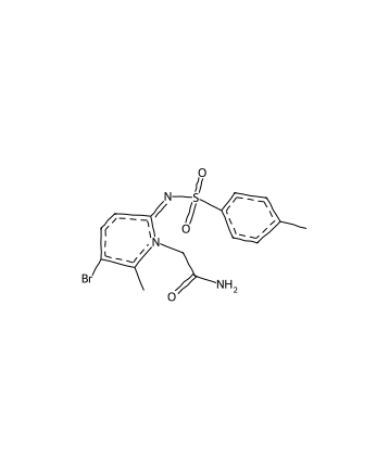 Cc1ccc(S(=O)(=O)/N=c2/ccc(Br)c(C)n2CC(N)=O)cc1